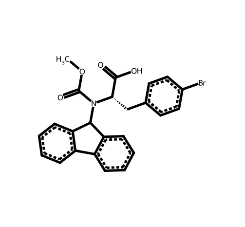 COC(=O)N(C1c2ccccc2-c2ccccc21)[C@@H](Cc1ccc(Br)cc1)C(=O)O